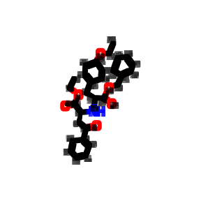 CCOC(=O)[C@H](CC(=O)c1ccccc1)N[C@@H](Cc1ccc(OCC)cc1)C(=O)OCc1ccccc1